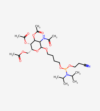 CC(=O)NC1C(OCCCCOP(OCCC#N)N(C(C)C)C(C)C)O[C@H](COC(C)=O)[C@H](OC(C)=O)C1OC(C)=O